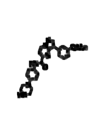 COc1cccc(-c2cnn3ccc(C(=O)Nc4ccc(N5CCNCC5)cc4)nc23)c1